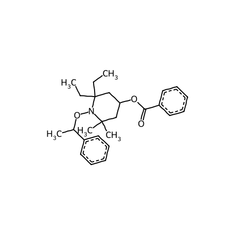 CCC1(CC)CC(OC(=O)c2ccccc2)CC(C)(C)N1OC(C)c1ccccc1